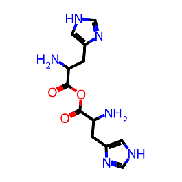 NC(Cc1c[nH]cn1)C(=O)OC(=O)C(N)Cc1c[nH]cn1